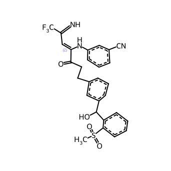 CS(=O)(=O)c1ccccc1C(O)c1cccc(CCC(=O)/C(=C/C(=N)C(F)(F)F)Nc2cccc(C#N)c2)c1